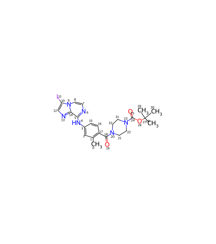 Cc1cc(Nc2nccn3c(I)cnc23)ccc1C(=O)N1CCN(C(=O)OC(C)(C)C)CC1